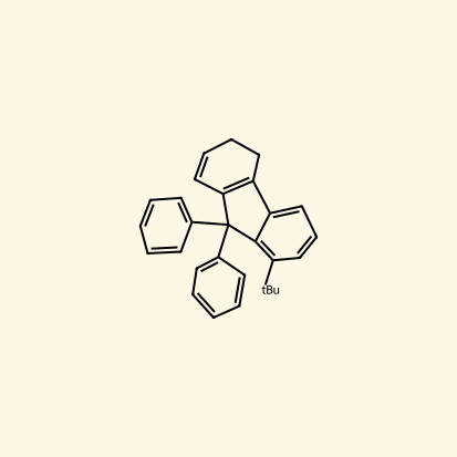 CC(C)(C)c1cccc2c1C(c1ccccc1)(c1ccccc1)C1=C2CCC=C1